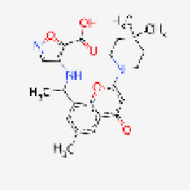 Cc1cc(C(C)Nc2cnoc2C(=O)O)c2oc(N3CCC(C)(C)CC3)cc(=O)c2c1